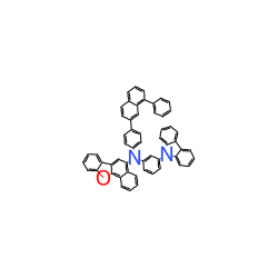 c1ccc(-c2cccc3ccc(-c4ccc(N(c5cccc(-n6c7ccccc7c7ccccc76)c5)c5cc6c7ccccc7oc6c6ccccc56)cc4)cc23)cc1